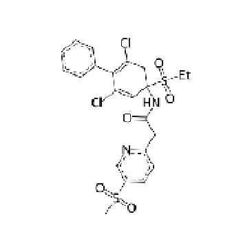 CCS(=O)(=O)C1(NC(=O)Cc2ccc(S(C)(=O)=O)cn2)C=C(Cl)C(c2ccccc2)=C(Cl)C1